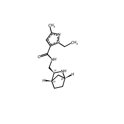 CCn1nc(C)cc1C(=O)NC[C@H]1N[C@@H]2CC[C@H]1C2